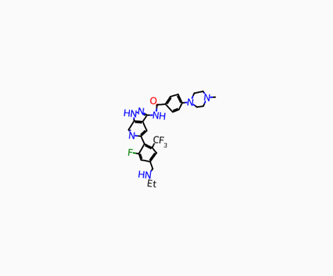 CCNCc1cc(F)c(-c2cc3c(NC(=O)c4ccc(N5CCN(C)CC5)cc4)n[nH]c3cn2)c(C(F)(F)F)c1